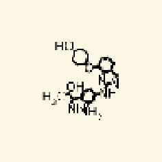 CC(O)C(=N)c1ccc(Nc2ncc3cccc(O[C@H]4CC[C@@H](O)CC4)c3n2)cc1N